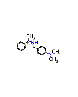 C[C@@H](NCc1ccc(N(C)C)cc1)c1ccccc1